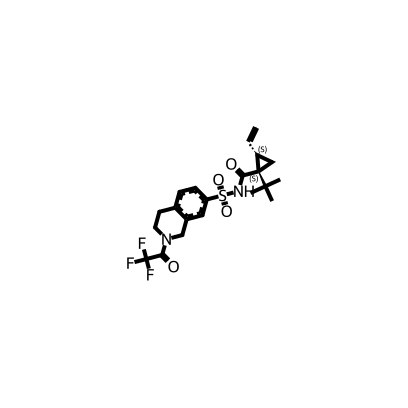 C=C[C@@H]1C[C@@]1(C(=O)NS(=O)(=O)c1ccc2c(c1)CN(C(=O)C(F)(F)F)CC2)C(C)(C)C